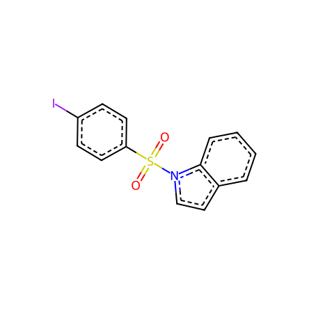 O=S(=O)(c1ccc(I)cc1)n1ccc2ccccc21